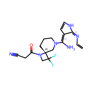 C=C/N=C1/NC=C/C1=C(/N)N1CCC[C@]2(C1)N(C(=O)CC#N)CC2(F)F